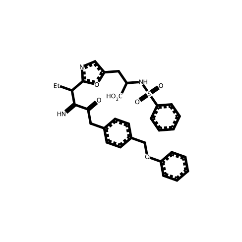 CCC(C(=N)C(=O)Cc1ccc(COc2ccccc2)cc1)c1ncc(CC(NS(=O)(=O)c2ccccc2)C(=O)O)o1